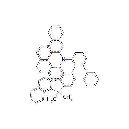 CC1(C)c2ccc(-c3c(-c4ccccc4)cccc3N(c3ccc4ccccc4c3)c3cccc4ccc5ccccc5c34)cc2-c2ccc3ccccc3c21